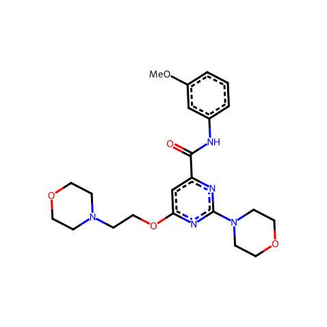 COc1cccc(NC(=O)c2cc(OCCN3CCOCC3)nc(N3CCOCC3)n2)c1